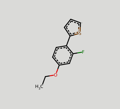 CCOc1ccc(-c2cc[c]s2)c(F)c1